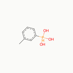 Cc1cccc([PH](O)(O)O)c1